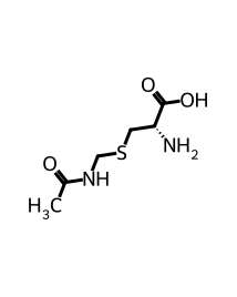 CC(=O)NCSC[C@@H](N)C(=O)O